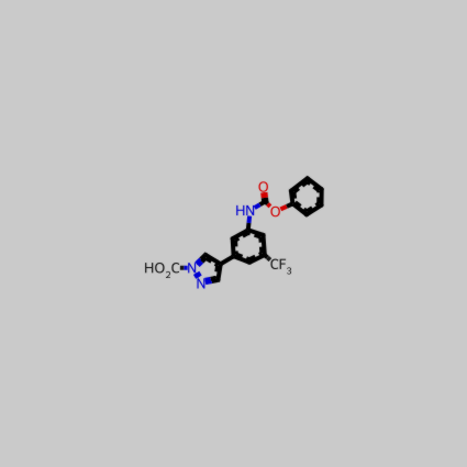 O=C(Nc1cc(-c2cnn(C(=O)O)c2)cc(C(F)(F)F)c1)Oc1ccccc1